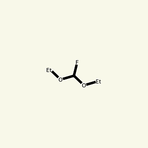 CCO[C](F)OCC